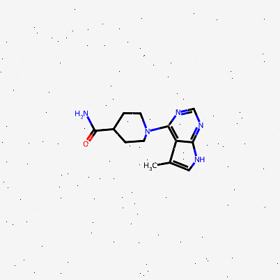 Cc1c[nH]c2ncnc(N3CCC(C(N)=O)CC3)c12